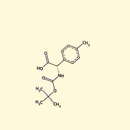 Cc1ccc([C@H](NC(=O)OC(C)(C)C)C(=O)O)cc1